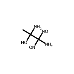 CC(N)(O)C(N)(N=O)N=O